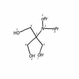 CCCN(CCC)C(CO)(CO)CO